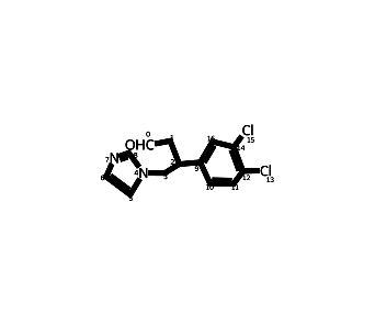 O=CCC(Cn1ccnc1)c1ccc(Cl)c(Cl)c1